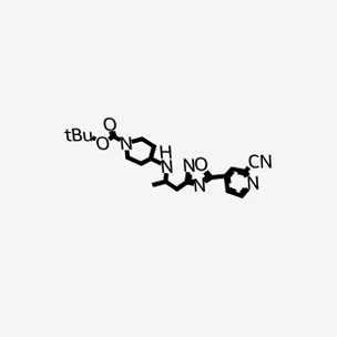 CC(Cc1noc(-c2ccnc(C#N)c2)n1)NC1CCN(C(=O)OC(C)(C)C)CC1